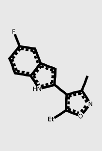 CCc1onc(C)c1-c1cc2cc(F)ccc2[nH]1